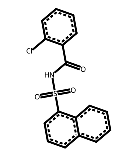 O=C(NS(=O)(=O)c1cccc2ccccc12)c1ccccc1Cl